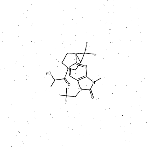 CC(O)C(=O)N1CCC2(c3ccc4c(n3)n(C)c(=O)n4CC(C)(C)C)C(C1)C2(F)F